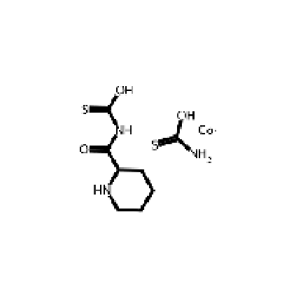 NC(O)=S.O=C(NC(O)=S)C1CCCCN1.[Co]